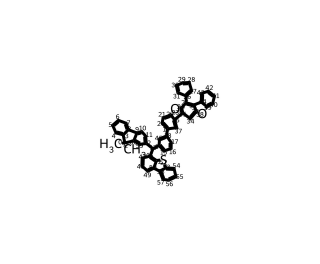 CC1(C)c2ccccc2-c2ccc(C(c3cccc(-c4ccc5oc6c(-c7ccccc7)c7c(cc6c5c4)oc4ccccc47)c3)c3cccc4c3sc3ccccc34)cc21